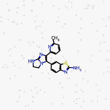 Cc1cccc(-c2nc3n(c2-c2ccc4nc(N)sc4c2)CCN3)n1